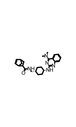 CN(C)c1nc(N[C@H]2CC[C@@H](CNC(=O)C3CC4C=CC3C4)CC2)nc2ccccc12